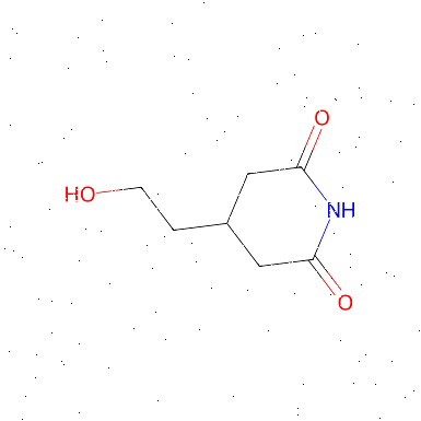 O=C1CC(CCO)CC(=O)N1